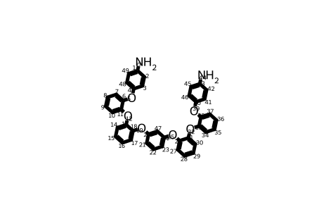 Nc1ccc(Oc2ccccc2Oc2ccccc2Oc2cccc(Oc3ccccc3Oc3ccccc3Oc3ccc(N)cc3)c2)cc1